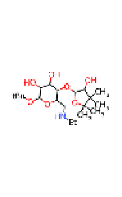 CCNCC1OC(OC(C)(C)C)C(O)C(O)C1OC1OC(C)(C)C(C)(C)C1O